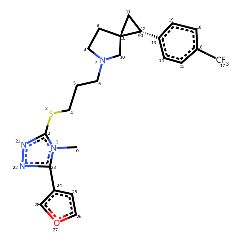 Cn1c(SCCCN2CCC3(C[C@@H]3c3ccc(C(F)(F)F)cc3)C2)nnc1-c1ccoc1